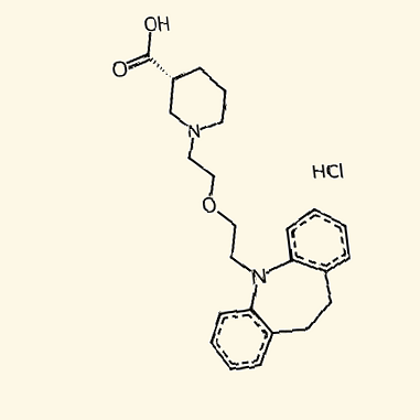 Cl.O=C(O)[C@@H]1CCCN(CCOCCN2c3ccccc3CCc3ccccc32)C1